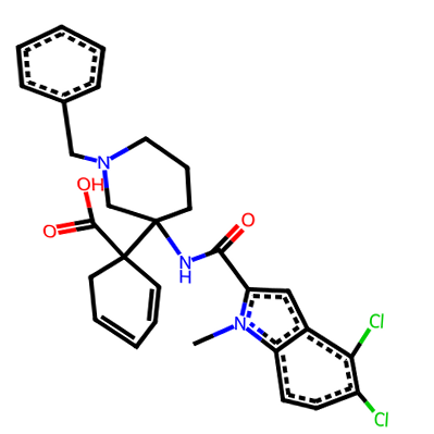 Cn1c(C(=O)NC2(C3(C(=O)O)C=CC=CC3)CCCN(Cc3ccccc3)C2)cc2c(Cl)c(Cl)ccc21